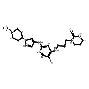 CN1CCC(n2cc(Nc3ncc(Br)c(NCCCN4CCCOC4=O)n3)cn2)CC1